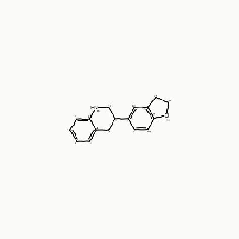 c1ccc2c(c1)CC(c1ccc3c(c1)CCO3)CN2